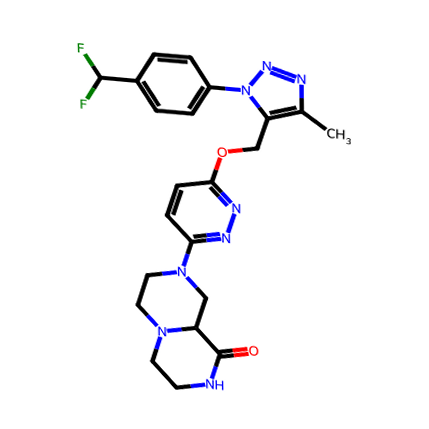 Cc1nnn(-c2ccc(C(F)F)cc2)c1COc1ccc(N2CCN3CCNC(=O)C3C2)nn1